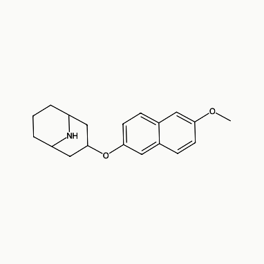 COc1ccc2cc(OC3CC4CCCC(C3)N4)ccc2c1